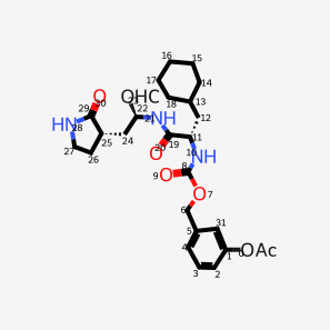 CC(=O)Oc1cccc(COC(=O)N[C@@H](CC2CCCCC2)C(=O)N[C@H](C=O)C[C@@H]2CCNC2=O)c1